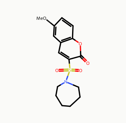 COc1ccc2oc(=O)c(S(=O)(=O)N3CCCCCC3)cc2c1